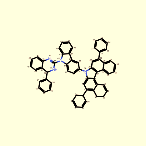 C1=CCC(c2cc3c(c4c2CCC=C4)c2c4ccccc4c(-c4ccccc4)cc2n3-c2ccc3c(c2)c2ccccc2n3C2=Nc3ccccc3C(c3ccccc3)N2)C=C1